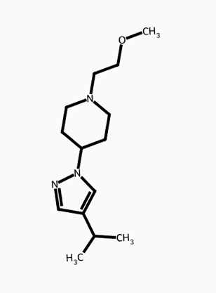 COCCN1CCC(n2cc(C(C)C)cn2)CC1